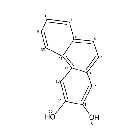 Oc1[c]c2ccc3ccccc3c2cc1O